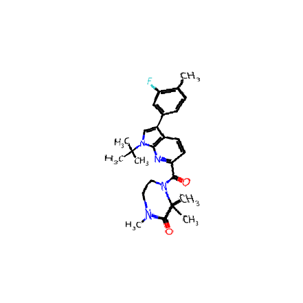 Cc1ccc(-c2cn(C(C)(C)C)c3nc(C(=O)N4CCN(C)C(=O)C4(C)C)ccc23)cc1F